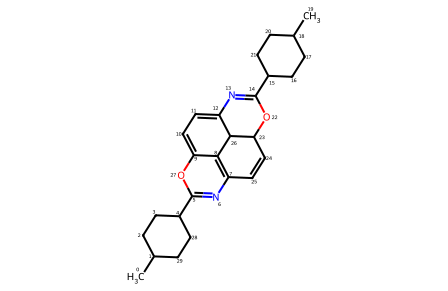 CC1CCC(C2=NC3=C4C(=CC=C5N=C(C6CCC(C)CC6)OC(C=C3)C54)O2)CC1